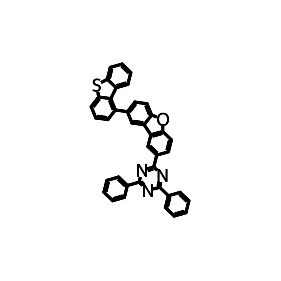 c1ccc(-c2nc(-c3ccccc3)nc(-c3ccc4oc5ccc(-c6cccc7sc8ccccc8c67)cc5c4c3)n2)cc1